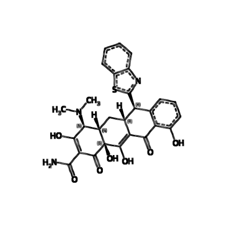 CN(C)[C@@H]1C(O)=C(C(N)=O)C(=O)[C@@]2(O)C(O)=C3C(=O)c4c(O)cccc4[C@H](c4nc5ccccc5s4)[C@H]3C[C@@H]12